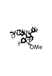 C=CC(=O)N1CCn2nc(-c3nc(-c4cnn(C)c4)c4ccsc4c3-c3ccc(F)cc3OCCOC)cc2C1